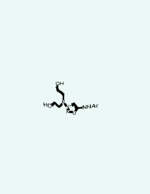 CC(=O)[N-]c1c[n+](N(CCO)CCO)no1